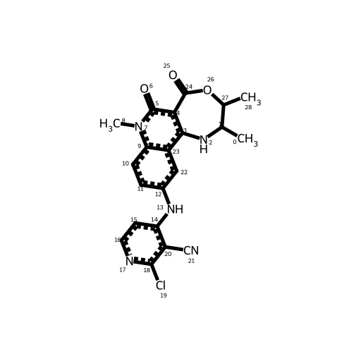 CC1Nc2c(c(=O)n(C)c3ccc(Nc4ccnc(Cl)c4C#N)cc23)C(=O)OC1C